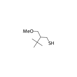 COCC(CS)C(C)(C)C